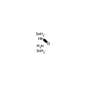 [InH3].[O]=[InH].[SnH2].[SnH2]